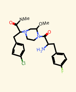 CNC(=O)C(Cc1ccc(Cl)cc1)N1CCN(C(=O)C(N)Cc2ccc(F)cc2)C(OC)C1